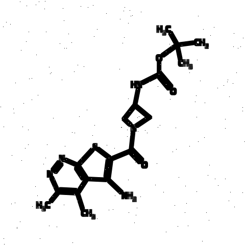 Cc1nnc2sc(C(=O)N3CC(NC(=O)OC(C)(C)C)C3)c(N)c2c1C